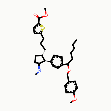 CCCCCC(OCc1ccc(OC)cc1)c1ccc([C@H]2/C(=N/C)CC[C@@H]2CCCc2ccc(C(=O)OC)s2)cc1